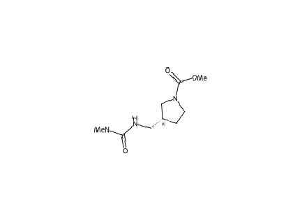 CNC(=O)NC[C@H]1CCN(C(=O)OC)C1